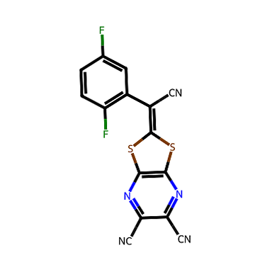 N#CC(=C1Sc2nc(C#N)c(C#N)nc2S1)c1cc(F)ccc1F